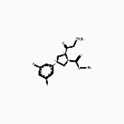 CCOC(=O)CC(=O)[C@@H]1C[C@@H](c2cc(F)cc(F)c2)CN1C(=O)OC(C)(C)C